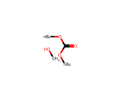 CCCCOC(=O)OCCCC.CO